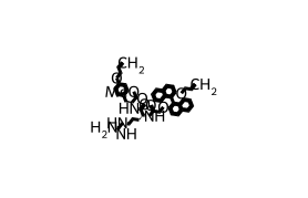 C=CCOc1ccc(C[C@H](NC(=O)[C@@H](CCCNC(=N)N)NC(=O)COc2ccc3ccccc3c2-c2c(OCC=C)ccc3ccccc23)C(=O)OC)cc1